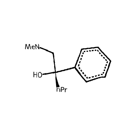 CCC[C@@](O)(CNC)c1ccccc1